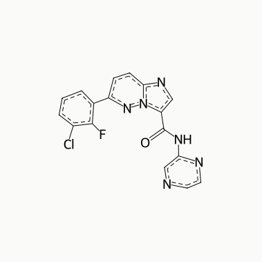 O=C(Nc1cnccn1)c1cnc2ccc(-c3cccc(Cl)c3F)nn12